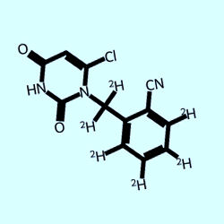 [2H]c1c([2H])c([2H])c(C([2H])([2H])n2c(Cl)cc(=O)[nH]c2=O)c(C#N)c1[2H]